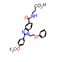 O=C(O)CCNC(=O)c1ccc2c(c1)nc(-c1ccc(OC(F)(F)F)cc1)n2CCOc1ccccc1